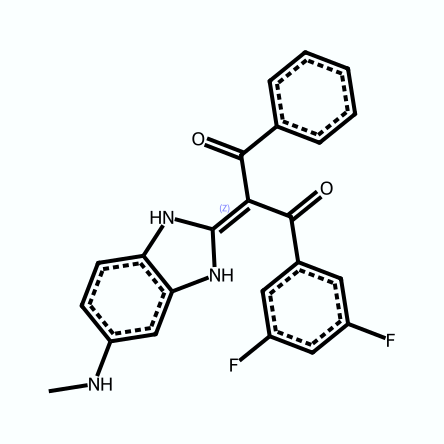 CNc1ccc2c(c1)N/C(=C(/C(=O)c1ccccc1)C(=O)c1cc(F)cc(F)c1)N2